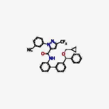 N#Cc1cccc(-n2nc(C(F)(F)F)cc2C(=O)Nc2ccccc2-c2cccc(C(OCC3CC3)c3ccccc3)c2)c1